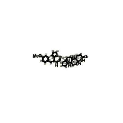 COc1ccc(CC(NC(=O)[C@H]2CC[C@H]3[C@@H]4CC[C@H]5NC(=O)C=C[C@]5(C)[C@H]4CC[C@]23C)c2cccs2)cc1